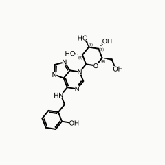 OC[C@H]1OC(n2cnc(NCc3ccccc3O)c3ncnc2-3)[C@H](O)[C@@H](O)[C@@H]1O